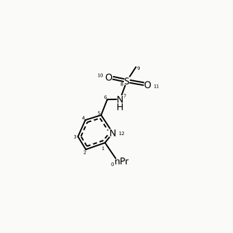 CCCc1cccc(CNS(C)(=O)=O)n1